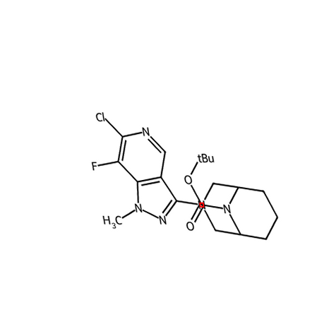 Cn1nc(N2CC3CCCC(C2)N3C(=O)OC(C)(C)C)c2cnc(Cl)c(F)c21